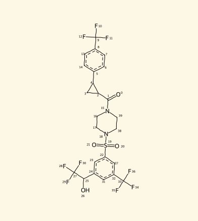 O=C(C1CC1c1ccc(C(F)(F)F)cc1)N1CCN(S(=O)(=O)c2cc(C(O)C(F)(F)F)cc(C(F)(F)F)c2)CC1